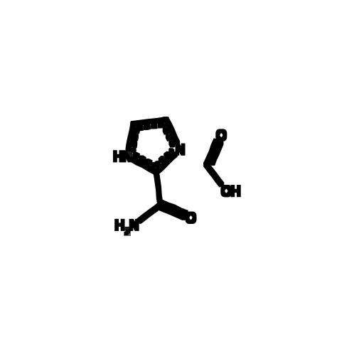 NC(=O)c1ncc[nH]1.O=CO